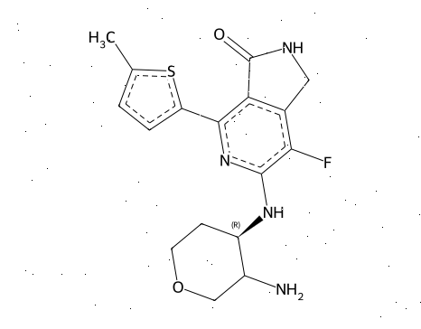 Cc1ccc(-c2nc(N[C@@H]3CCOCC3N)c(F)c3c2C(=O)NC3)s1